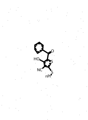 CCCSc1sc(C(=O)c2ccccc2)c(O)c1C#N